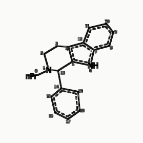 CCCN1CCc2c([nH]c3ccccc23)C1c1ccccc1